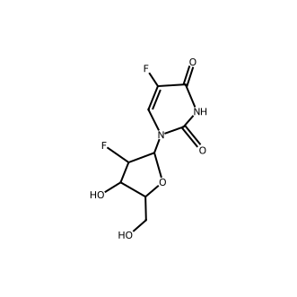 O=c1[nH]c(=O)n(C2OC(CO)C(O)C2F)cc1F